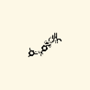 C=CC(=O)NC1(C)CCN(S(=O)(=O)c2ccc(C(=O)NCc3cc(C)cc(C)c3)cc2)CC1